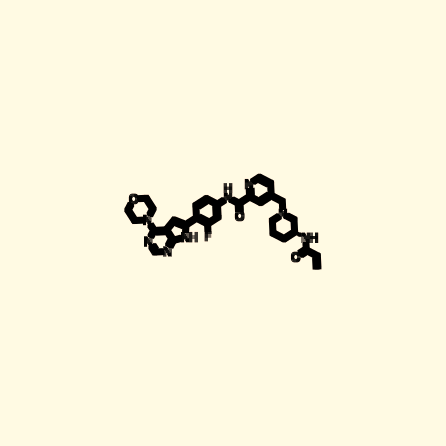 C=CC(=O)N[C@@H]1CCCN(Cc2ccnc(C(=O)Nc3ccc(-c4cc5c(N6CCOCC6)ncnc5[nH]4)c(F)c3)c2)C1